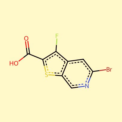 O=C(O)c1sc2cnc(Br)cc2c1F